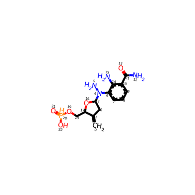 C=C1CC(N(N)c2cccc(C(N)=O)c2N)OC1CO[PH](=O)O